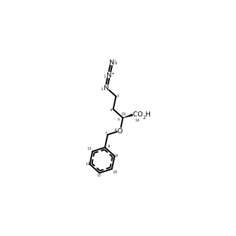 [N-]=[N+]=NCC[C@H](OCc1ccccc1)C(=O)O